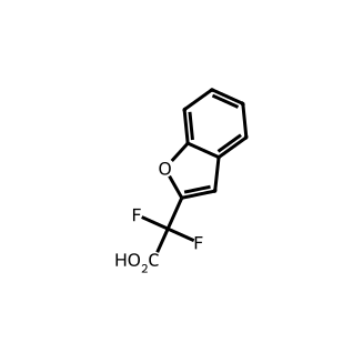 O=C(O)C(F)(F)c1cc2ccccc2o1